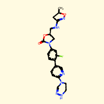 CC1CC(NC[C@H]2CN(c3ccc(-c4ccc(N5C=NNCC5)nc4)c(F)c3)C(=O)O2)=NO1